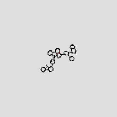 c1ccc(-c2cc(-c3ccc(N(c4ccc(-c5cccc6c5sc5ccccc56)cc4)c4ccccc4-c4ccccc4)cc3)ccc2-c2cccc3ccccc23)cc1